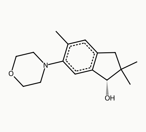 Cc1cc2c(cc1N1CCOCC1)[C@@H](O)C(C)(C)C2